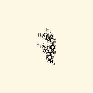 CCNC(=O)Nc1sc2nc(C)ccc2c1C(=O)N1CCC(N2CCCC3(CCN(C(C)C)C3=O)C2)CC1